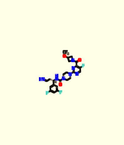 N=CC[C@H](NC(=O)N1CCN(c2ncc(F)c(C(=O)N3CC(OC(F)(F)F)C3)n2)CC1)c1cc(F)cc(F)c1